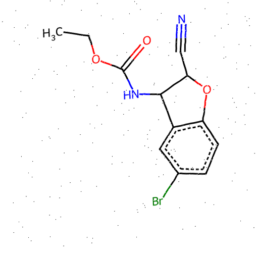 CCOC(=O)NC1c2cc(Br)ccc2OC1C#N